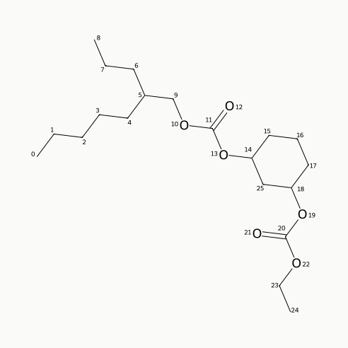 CCCCCC(CCC)COC(=O)OC1CCCC(OC(=O)OCC)C1